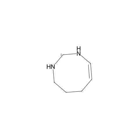 [C]1N/C=C\CCCN1